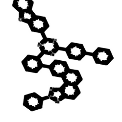 c1ccc(-c2ccc(-c3nc(-c4ccc5c(c4)oc4ccccc45)nc(-c4ccccc4-c4ccc5ccc6ccc7nn(-c8ccccc8)nc7c6c5c4)n3)cc2)cc1